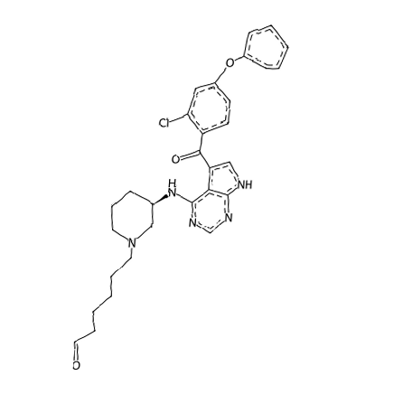 O=CCCCCCN1CCC[C@@H](Nc2ncnc3[nH]cc(C(=O)c4ccc(Oc5ccccc5)cc4Cl)c23)C1